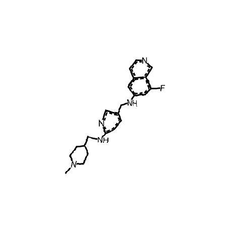 CN1CCC(CNc2ccc(CNc3cc(F)c4cnccc4c3)cn2)CC1